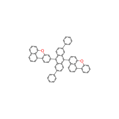 c1ccc(-c2ccc3c(-c4ccc5c6c(cccc46)-c4ccccc4O5)c4cc(-c5ccccc5)ccc4c(-c4ccc5c(c4)Oc4cccc6cccc-5c46)c3c2)cc1